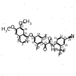 COc1cc2ncnc(Oc3cc(F)c(C(=O)C(=O)Nc4ccc(C#N)cc4C(F)(F)F)c(F)c3)c2cc1OC